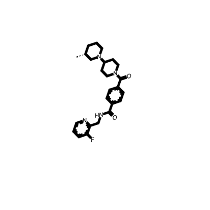 C[C@@H]1CCCN(C2CCN(C(=O)c3ccc(C(=O)NCc4ncccc4F)cc3)CC2)C1